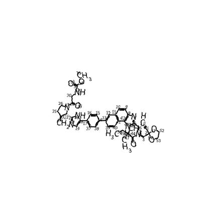 C#CC1(CN(Cc2nc3ccc4cc(-c5ccc(-c6cnc([C@@H]7C(=C)CCN7C(=O)CNC(=O)OC)[nH]6)cc5)ccc4c3[nH]2)C(=O)C(C)(C)CC)OCCO1